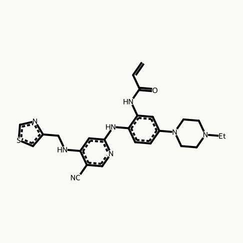 C=CC(=O)Nc1cc(N2CCN(CC)CC2)ccc1Nc1cc(NCc2cscn2)c(C#N)cn1